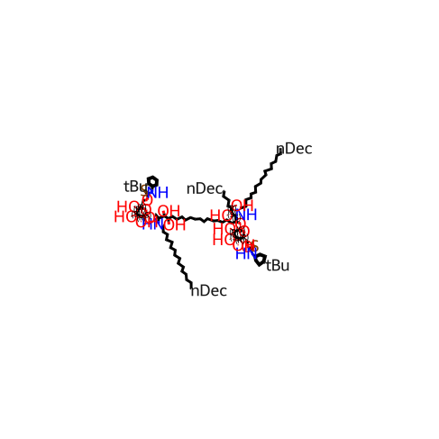 CCCCCCCCCCCCCCCCCCCCCCCCCCNC(CO[C@H]1O[C@H](COC(=S)Nc2ccccc2C(C)(C)C)[C@H](O)[C@H](O)[C@H]1O)C(O)C(O)CCCCCCCCCCCCCCC(O[C@H]1O[C@H](COC(=S)Nc2ccc(C(C)(C)C)cc2)[C@H](O)[C@H](O)[C@H]1O)[C@@H](NCCCCCCCCCCCCCCCCCCCCCCCCCC)[C@H](O)[C@H](O)CCCCCCCCCCCCCC